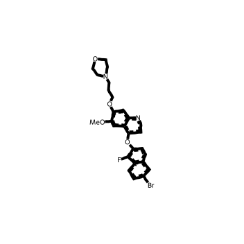 COc1cc2c(Oc3ccc4cc(Br)ccc4c3F)ccnc2cc1OCCCN1CCOCC1